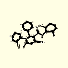 CCc1cccc(C)c1NC(=O)c1c(-c2ccccn2)n(-c2ccccc2Cl)c(C)cc1=O